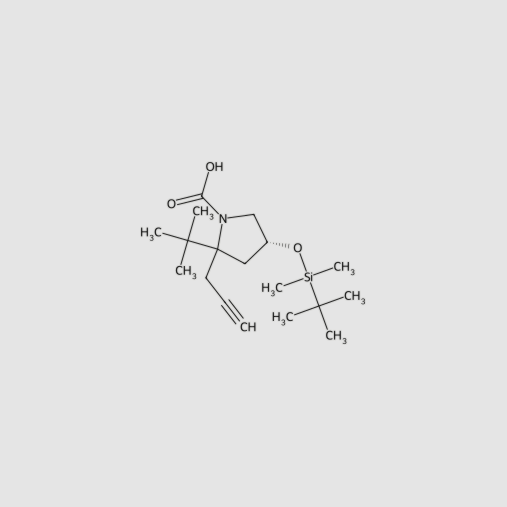 C#CCC1(C(C)(C)C)C[C@@H](O[Si](C)(C)C(C)(C)C)CN1C(=O)O